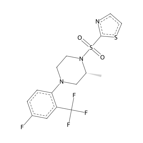 C[C@@H]1CN(c2ccc(F)cc2C(F)(F)F)CCN1S(=O)(=O)c1nccs1